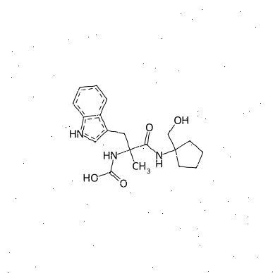 CC(Cc1c[nH]c2ccccc12)(NC(=O)O)C(=O)NC1(CO)CCCC1